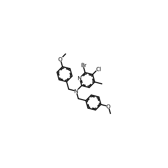 COc1ccc(CN(Cc2ccc(OC)cc2)c2cc(C)c(Cl)c(Br)n2)cc1